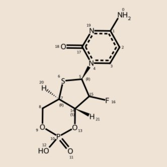 Nc1ccn([C@@H]2S[C@@H]3COP(=O)(O)O[C@H]3C2F)c(=O)n1